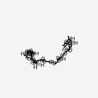 C=c1cc2c(cc1C)=C(c1cc(C(=O)NCCOCCOCCNC(=O)OCCC(C)(C)SSCOCCCCOC(=O)NCC#Cc3cn([C@H]4C[C@H](OCSSCC)[C@@H](COP(=O)(O)OP(=O)(O)OP(=O)(O)O)O4)c(=O)[nH]c3=O)ccc1C(=O)O)c1cc(C)c(NCC)cc1O2